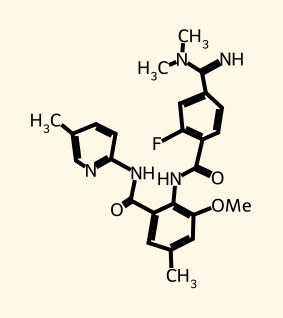 COc1cc(C)cc(C(=O)Nc2ccc(C)cn2)c1NC(=O)c1ccc(C(=N)N(C)C)cc1F